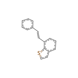 C(=C\c1cccc2ccsc12)/c1ccccc1